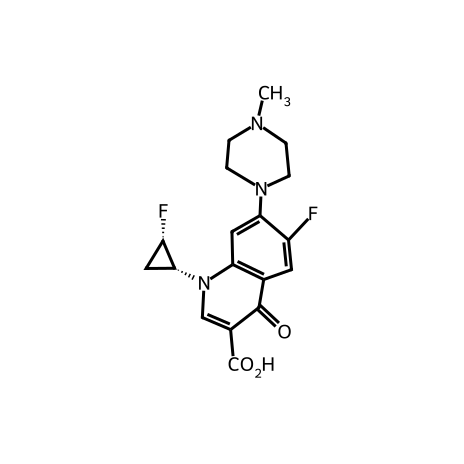 CN1CCN(c2cc3c(cc2F)c(=O)c(C(=O)O)cn3[C@@H]2C[C@@H]2F)CC1